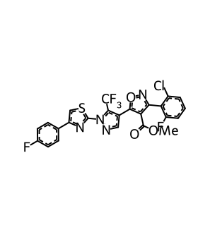 COC(=O)c1c(-c2c(F)cccc2Cl)noc1-c1cnn(-c2nc(-c3ccc(F)cc3)cs2)c1C(F)(F)F